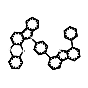 c1ccc(-c2cccc3c2sc2c(-c4ccc(-n5c6ccccc6c6ccc7c(c65)Oc5ccccc5O7)cc4)cccc23)cc1